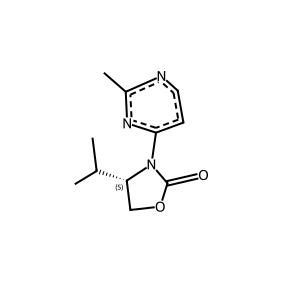 Cc1nccc(N2C(=O)OC[C@@H]2C(C)C)n1